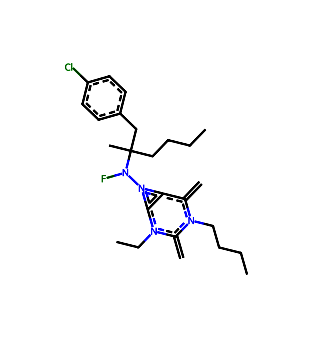 C=c1c2n(N(F)C(C)(CCCC)Cc3ccc(Cl)cc3)c=2n(CC)c(=C)n1CCCC